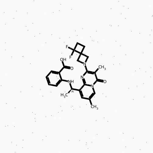 Cc1cc([C@@H](C)Nc2ccccc2C(=O)O)c2nc(N3CC4(CCC4(F)F)C3)c(C)c(=O)n2c1